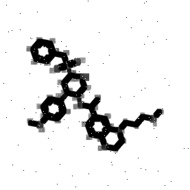 COCCCN1CCOc2ccc(C(C)O[C@H]3CN[C@@H](S(=O)(=O)Cc4ccccc4)C[C@@H]3c3ccc(OC)cc3)cc21